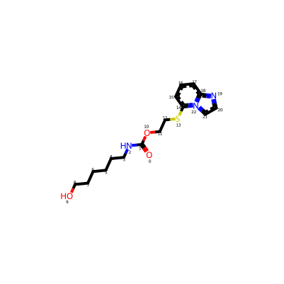 O=C(NCCCCCCO)OCCSc1cccc2nccn12